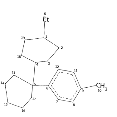 CCC1CCC(C2(c3ccc(C)cc3)CCCCC2)CC1